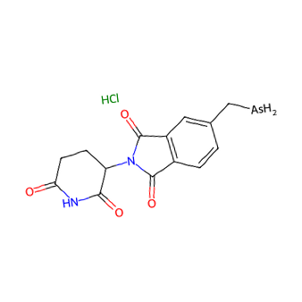 Cl.O=C1CCC(N2C(=O)c3ccc(C[AsH2])cc3C2=O)C(=O)N1